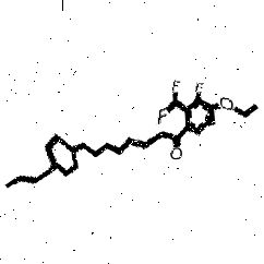 CCCC1CCC(CCCCCCCC(=O)c2ccc(OCC)c(F)c2C(F)F)CC1